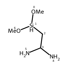 CO[SiH](CC(N)N)OC